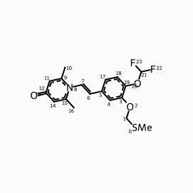 CSCOc1cc(C=Cn2c(C)cc(=O)cc2C)ccc1OC(F)F